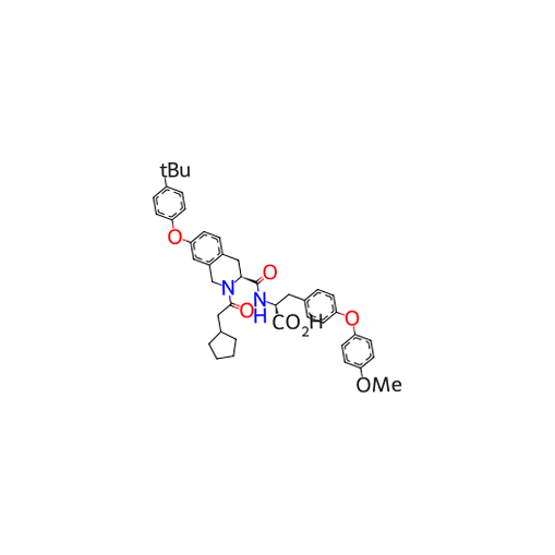 COc1ccc(Oc2ccc(C[C@H](NC(=O)[C@@H]3Cc4ccc(Oc5ccc(C(C)(C)C)cc5)cc4CN3C(=O)CC3CCCC3)C(=O)O)cc2)cc1